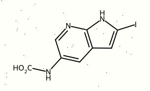 O=C(O)Nc1cnc2[nH]c(I)cc2c1